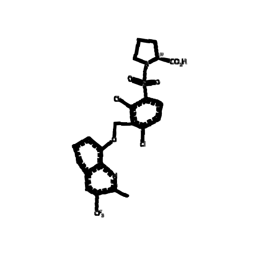 Cc1nc2c(OCc3c(Cl)ccc(S(=O)(=O)N4CCC[C@H]4C(=O)O)c3Cl)cccc2cc1C(F)(F)F